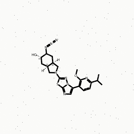 COc1nc(C(C)C)ccc1-c1cnc2sc(N3C[C@H]4C[C@H](O)C(N=[N+]=[N-])C[C@H]4C3)nn12